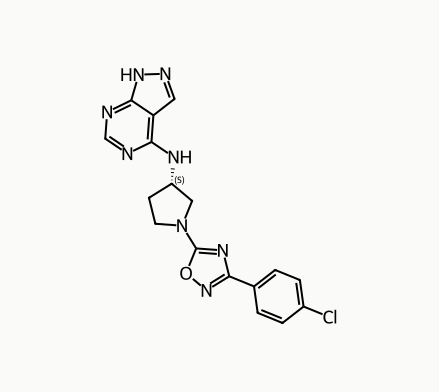 Clc1ccc(-c2noc(N3CC[C@H](Nc4ncnc5[nH]ncc45)C3)n2)cc1